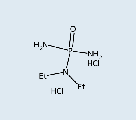 CCN(CC)P(N)(N)=O.Cl.Cl